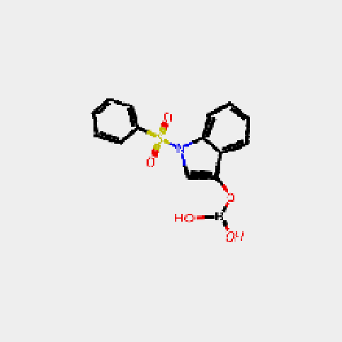 O=S(=O)(c1ccccc1)n1cc(OB(O)O)c2ccccc21